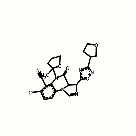 CC1(N2C(=O)C3C(c4nc(C5CCOC5)no4)N=CN3c3ccc(Cl)c(C#N)c32)CCCO1